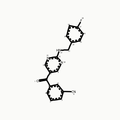 N#Cc1cccc(C(=O)c2cnc(NCc3ccc(F)cc3)nc2)c1